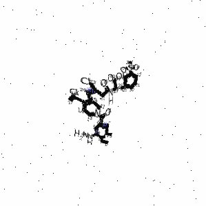 C=CC(=C)/C(=C\C(=C/CC)C(=O)N1CCC(C(=C)Cl)=C(/C=C(/Cl)CC(=O)N[C@@H](Cc2cccc(S(C)(=O)=O)c2)C(=O)O)C1)NN